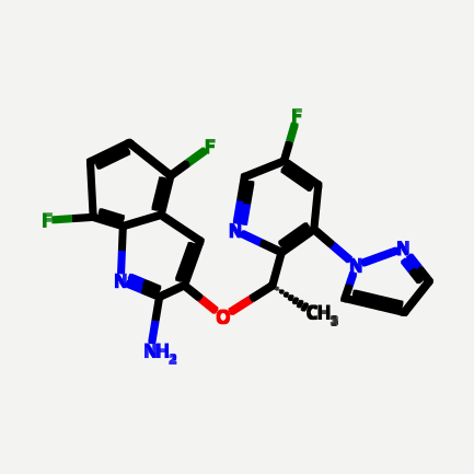 C[C@H](Oc1cc2c(F)ccc(F)c2nc1N)c1ncc(F)cc1-n1cccn1